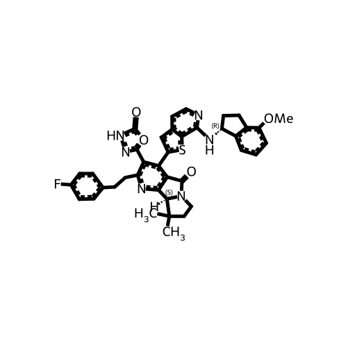 COc1cccc2c1CC[C@H]2Nc1nccc2cc(-c3c4c(nc(CCc5ccc(F)cc5)c3-c3n[nH]c(=O)o3)[C@H]3N(CCC3(C)C)C4=O)sc12